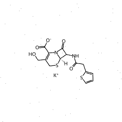 O=C(Cc1cccs1)NC1C(=O)N2C(C(=O)[O-])=C(CO)CS[C@H]12.[K+]